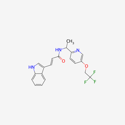 CC(NC(=O)C=Cc1c[nH]c2ccccc12)c1ccc(OCC(F)(F)F)cn1